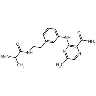 CNC(C)C(=O)NCCc1cccc(Nc2nc(C)cnc2C(N)=O)c1